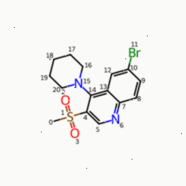 CS(=O)(=O)c1cnc2ccc(Br)cc2c1N1CC[CH]CC1